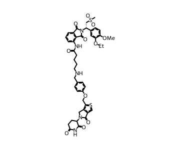 CCOc1cc([C@@H](CS(C)(=O)=O)N2C(=O)c3cccc(NC(=O)CCCCNCc4ccc(OCc5scc6c5CN(C5CCC(=O)NC5=O)C6=O)cc4)c3C2=O)ccc1OC